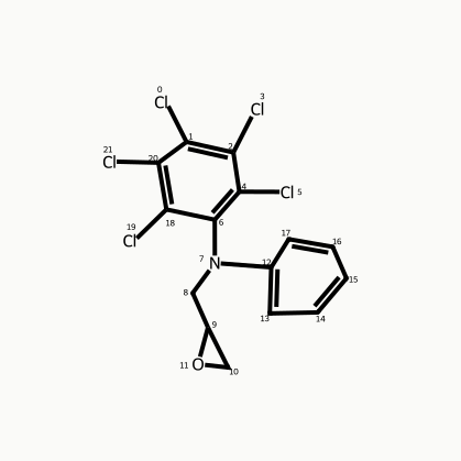 Clc1c(Cl)c(Cl)c(N(CC2CO2)c2ccccc2)c(Cl)c1Cl